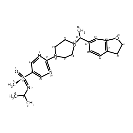 CC(C)N=[S@](C)(=O)c1cnc(N2CCN([C@@H](C)c3ccc4c(c3)OCC4)CC2)nc1